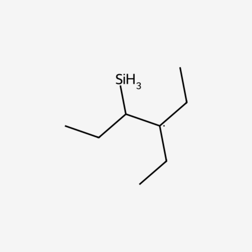 CC[C](CC)C([SiH3])CC